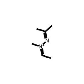 CC=[N+](C)N=C(C)C